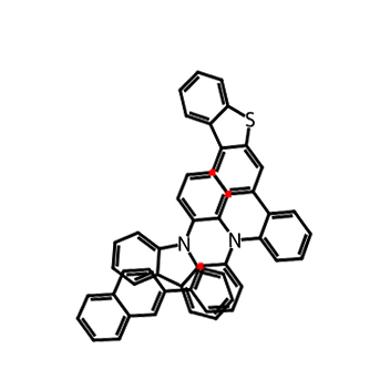 c1cc(-c2ccc3ccccc3c2)cc(N(c2ccccc2-c2ccc3c(c2)sc2ccccc23)c2ccccc2-n2c3ccccc3c3ccccc32)c1